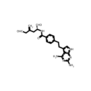 C=C(CC=O)C[C@@H](C=O)NC(=O)c1ccc(CCc2c[nH]c3nc(N)nc(N)c23)cc1